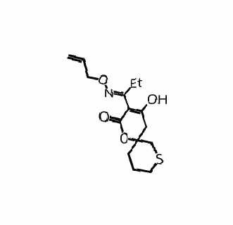 C=CCON=C(CC)C1=C(O)CC2(CCCSC2)OC1=O